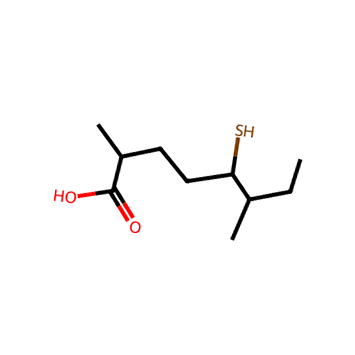 CCC(C)C(S)CCC(C)C(=O)O